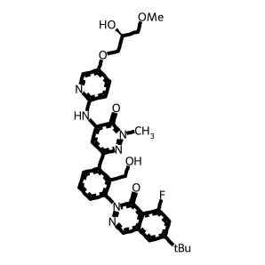 COC[C@H](O)COc1ccc(Nc2cc(-c3cccc(-n4ncc5cc(C(C)(C)C)cc(F)c5c4=O)c3CO)nn(C)c2=O)nc1